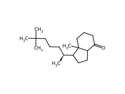 C[C@@H](CCCC(C)(C)C)C1CCC2C(=O)CCCC21C